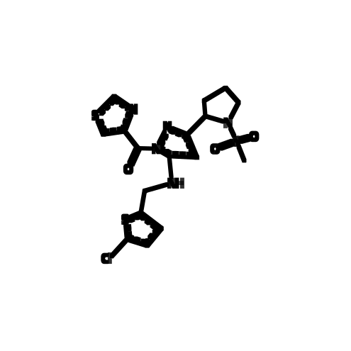 CS(=O)(=O)N1CCCC1c1cc(NCc2ccc(Cl)s2)n(C(=O)c2cscn2)n1